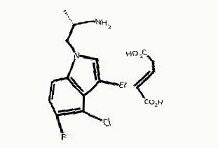 CCc1cn(C[C@H](C)N)c2ccc(F)c(Cl)c12.O=C(O)/C=C/C(=O)O